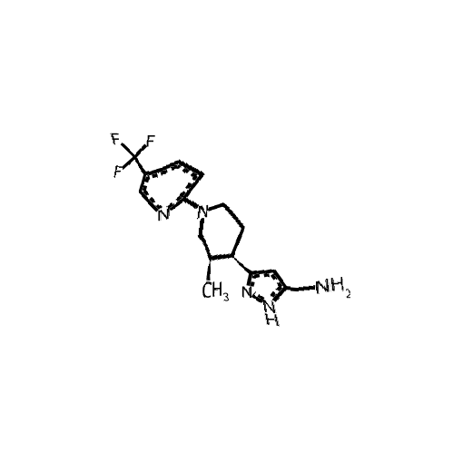 C[C@H]1CN(c2ccc(C(F)(F)F)cn2)CC[C@H]1c1cc(N)[nH]n1